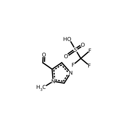 Cn1cncc1C=O.O=S(=O)(O)C(F)(F)F